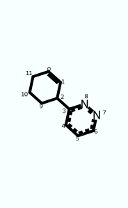 C1=CC(c2cccnn2)CCC1